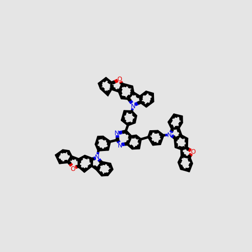 c1cc(-c2nc(-c3ccc(-n4c5ccccc5c5cc6oc7ccccc7c6cc54)cc3)c3cc(-c4ccc(-n5c6ccccc6c6cc7oc8ccccc8c7cc65)cc4)ccc3n2)cc(-n2c3ccccc3c3cc4oc5ccccc5c4cc32)c1